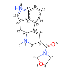 CN1CC(C(=O)N2CCOC2)C=C2c3cccc4[nH]cc(c34)CC21